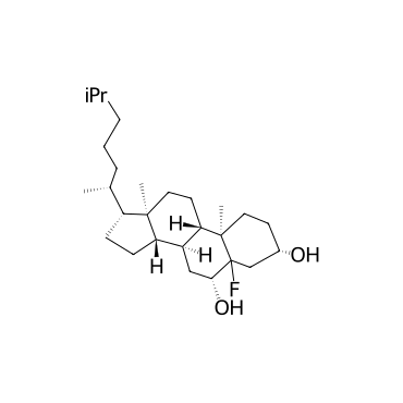 CC(C)CCC[C@@H](C)[C@H]1CC[C@H]2[C@@H]3C[C@@H](O)C4(F)C[C@@H](O)CC[C@]4(C)[C@H]3CC[C@]12C